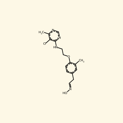 Cc1cc(CC=NO)ccc1OCCNc1ncnc(C)c1Cl